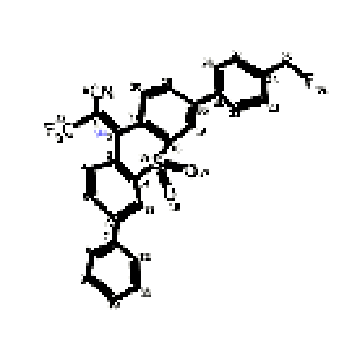 N#C/C(=C1/c2ccc(-c3ccccc3)cc2S(=O)(=O)c2cc(-c3ccc(CF)cc3)ccc21)C(F)(F)F